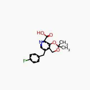 CC1(C)OCc2c(Cc3ccc(F)cc3)cnc(C(=O)O)c2O1